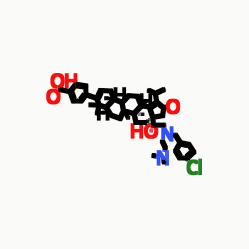 CC(C)C1=C2[C@H]3CC[C@@H]4[C@@]5(C)CC=C(c6ccc(C(=O)O)cc6)C(C)(C)[C@@H]5CC[C@@]4(C)[C@]3(C)CC[C@@]2([C@@H](O)CN(CCN(C)C)Cc2ccc(Cl)cc2)CC1=O